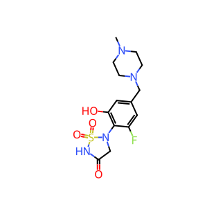 CN1CCN(Cc2cc(O)c(N3CC(=O)NS3(=O)=O)c(F)c2)CC1